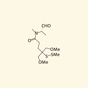 COCC(CCC(=O)N(C)[C@@H](C)C=O)(COC)SSC